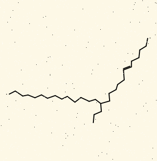 [CH2]CCCC/C=C/CCCCCC(CCC)CCCCCCCCCCCCC[CH2]